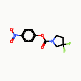 O=C(Oc1ccc([N+](=O)[O-])cc1)N1CCC(F)(F)C1